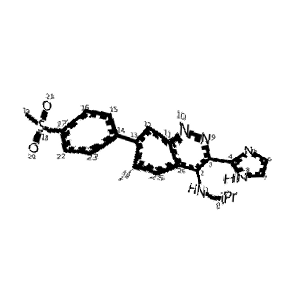 CC(C)Nc1c(-c2ncc[nH]2)nnc2cc(-c3ccc(S(C)(=O)=O)cc3)ccc12